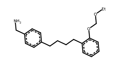 CCOCOc1ccccc1CCCCc1ccc(CN)cc1